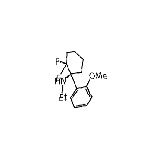 CCN[C@]1(c2ccccc2OC)CCCCC1(F)F